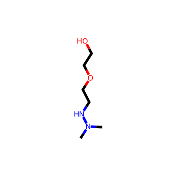 CN(C)NCCOCCO